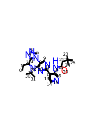 CCC1c2nncn2-c2cnc(-c3ccncc3NC(=O)CC(C)(C)C)nc2N1C(C)C